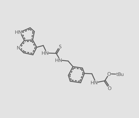 CC(C)(C)OC(=O)NCc1cccc(CNC(=S)NCc2ccnc3[nH]ccc23)c1